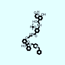 O=C(NCCCOc1cccc([C@](O)(C(=O)OCC2CCN(Cc3ccccc3)CC2)c2ccccc2)c1)c1ccc(CNC[C@H](O)c2ccc(O)c3[nH]c(=O)ccc23)c(OC(F)(F)F)c1